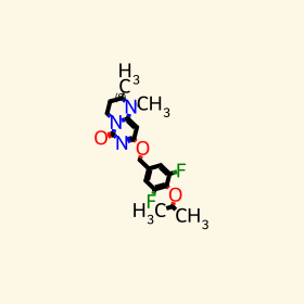 CC(C)Oc1c(F)cc(COc2cc3n(c(=O)n2)CC[C@H](C)N3C)cc1F